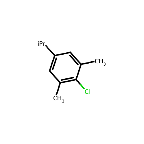 Cc1cc(C(C)C)cc(C)c1Cl